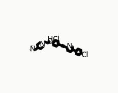 CN(C)CC1CCN(CCOc2ccc(C#Cc3ccc(-c4ccc(Cl)cc4)cn3)cc2)CC1.Cl